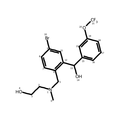 CN(CCO)Cc1ccc(Br)cc1C(O)c1cccc(OC(F)(F)F)c1